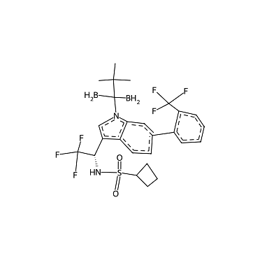 BC(B)(n1cc([C@H](NS(=O)(=O)C2CCC2)C(F)(F)F)c2ccc(-c3ccccc3C(F)(F)F)cc21)C(C)(C)C